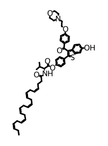 CC/C=C\C/C=C\C/C=C\C/C=C\C/C=C\C/C=C\CCC(=O)N[C@H](C(=O)Oc1ccc(-c2sc3cc(O)ccc3c2C(=O)c2ccc(OCCN3CCOCC3)cc2)cc1)C(C)C